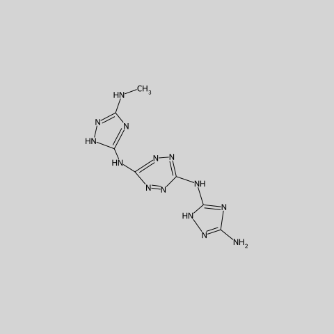 CNc1n[nH]c(Nc2nnc(Nc3nc(N)n[nH]3)nn2)n1